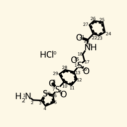 Cl.NCc1ccc(S(=O)(=O)c2ccc(S(=O)(=O)CCNC(=O)c3ccccc3)cc2)s1